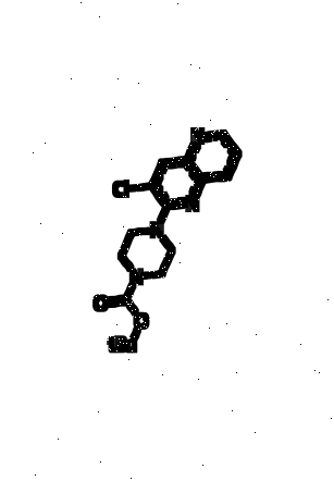 CC(C)(C)OC(=O)N1CCN(c2nc3cccnc3cc2Cl)CC1